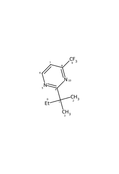 CCC(C)(C)c1nccc(C(F)(F)F)n1